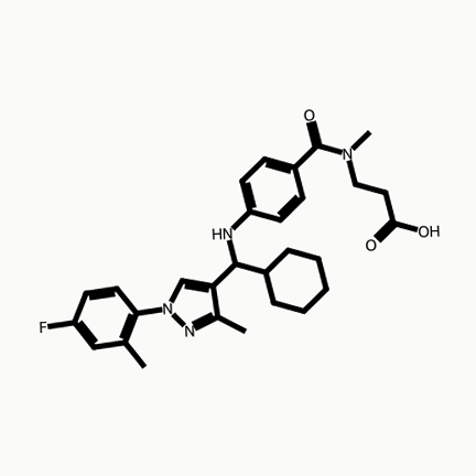 Cc1cc(F)ccc1-n1cc(C(Nc2ccc(C(=O)N(C)CCC(=O)O)cc2)C2CCCCC2)c(C)n1